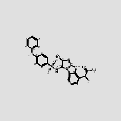 CC(C(=O)O)c1cccc2c1OC1CC(O)C(NS(=O)(=O)c3ccc(Oc4ccccc4)cc3)C21